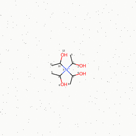 CC(O)[N+](C(C)O)(C(C)O)C(C)O